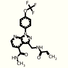 C=CC(=O)NCc1nn(-c2ccc(OC(F)(F)F)cc2)c2nccc(C(=O)NC)c12